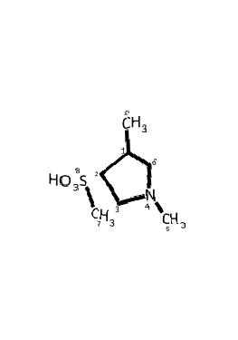 CC1CCN(C)C1.CS(=O)(=O)O